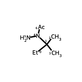 CCC(C)(C)N(N)C(C)=O